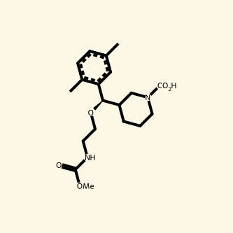 COC(=O)NCCO[C@@H](c1cc(C)ccc1C)C1CCCN(C(=O)O)C1